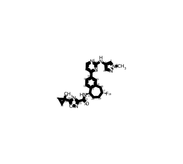 Cn1cc(Nc2nccc(-c3ccc4c(c3)C[C@H](F)CC[C@H]4NC(=O)c3noc(C4(C)CC4)n3)n2)cn1